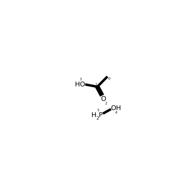 CC(=O)O.OP